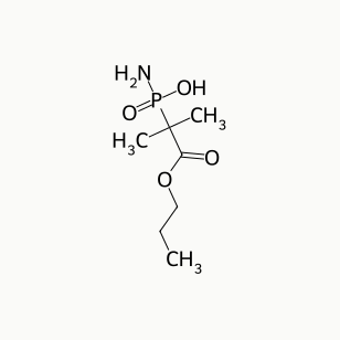 CCCOC(=O)C(C)(C)P(N)(=O)O